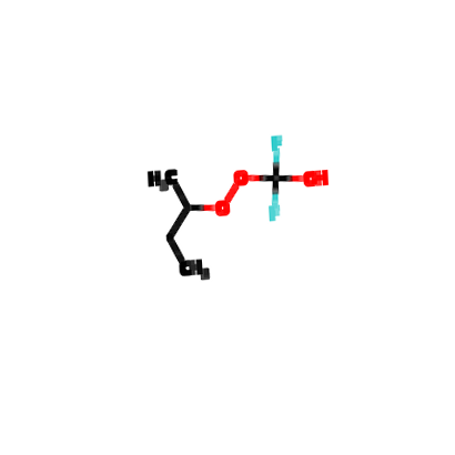 CCC(C)OOC(O)(F)F